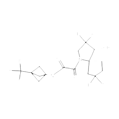 O=C(NC12CC(C(F)(F)F)(C1)C2)C(=O)N1CC(F)(F)[C@H](O)[C@]12CCC(F)(F)C2